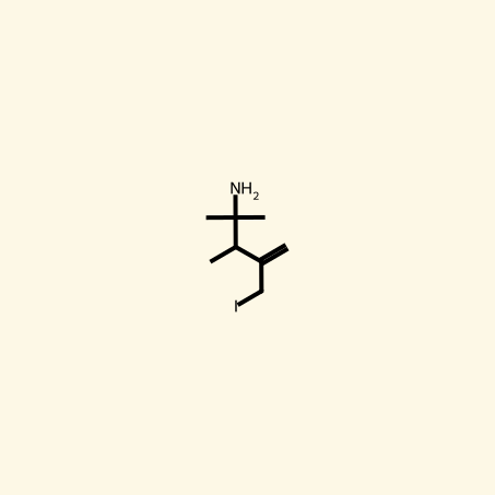 C=C(CI)C(C)C(C)(C)N